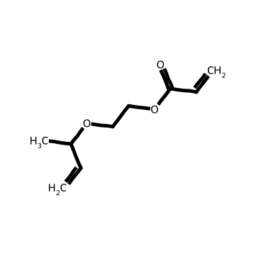 C=CC(=O)OCCOC(C)C=C